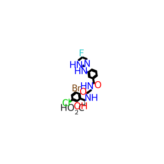 O=C(O)C[C@@H](NC(=O)CNC(=O)c1cccc(NC2=NCC(F)CN2)c1)c1cc(Br)cc(Cl)c1O